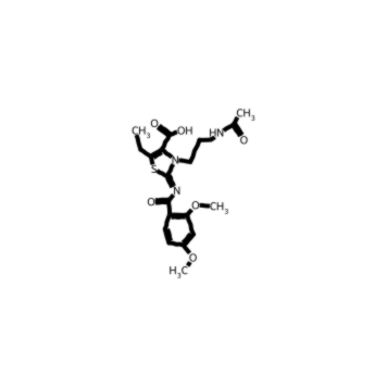 CCc1sc(=NC(=O)c2ccc(OC)cc2OC)n(CCCNC(C)=O)c1C(=O)O